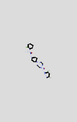 O=C(Nc1ccc(N2CCN(C(=O)Nc3ncc(Cl)cc3Cl)CC2)cc1)Nc1ccccc1F